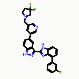 Fc1cccc(-c2cccc3[nH]c(-c4n[nH]c5ccc(-c6cncc(CN7CCC(F)(F)C7)c6)cc45)nc23)c1